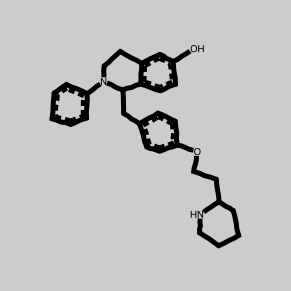 Oc1ccc2c(c1)CCN(c1ccccc1)C2Cc1ccc(OCCC2CCCCN2)cc1